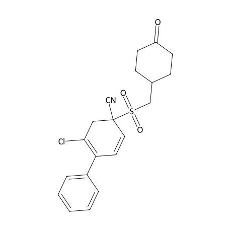 N#CC1(S(=O)(=O)CC2CCC(=O)CC2)C=CC(c2ccccc2)=C(Cl)C1